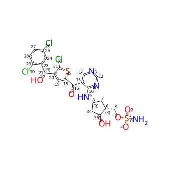 NS(=O)(=O)OC[C@H]1C[C@@H](Nc2ncncc2C(=O)c2cc([C@H](O)c3cc(Cl)ccc3Cl)c(Cl)s2)C[C@@H]1O